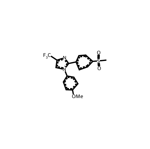 COc1ccc(-n2cc(C(F)(F)F)nc2-c2ccc(S(C)(=O)=O)cc2)cc1